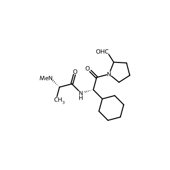 CN[C@@H](C)C(=O)N[C@H](C(=O)N1CCCC1C=O)C1CCCCC1